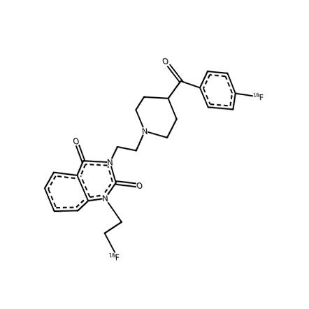 O=C(c1ccc([18F])cc1)C1CCN(CCn2c(=O)c3ccccc3n(CC[18F])c2=O)CC1